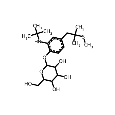 CSC(C)(C)Cc1ccc(OC2OC(CO)C(O)C(O)C2O)c(NC(C)(C)C)c1